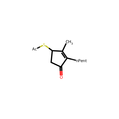 CCCCCC1=C(C)C(SC(C)=O)CC1=O